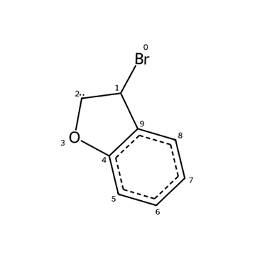 BrC1[C]Oc2ccccc21